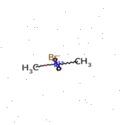 CCCCCCCCCCCC[N+](CCCCCCCCCCCC)(Cc1ccccc1)Cc1ccccc1.[Br-]